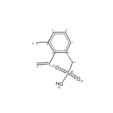 C=Cc1c(I)cccc1CS(=O)(=O)O